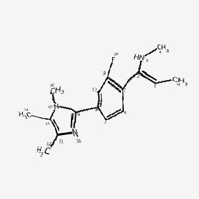 C/C=C(\NC)c1ccc(-c2nc(C)c(C)n2C)cc1F